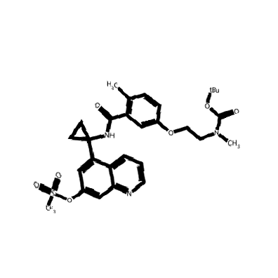 Cc1ccc(OCCN(C)C(=O)OC(C)(C)C)cc1C(=O)NC1(c2cc(OS(=O)(=O)C(F)(F)F)cc3ncccc23)CC1